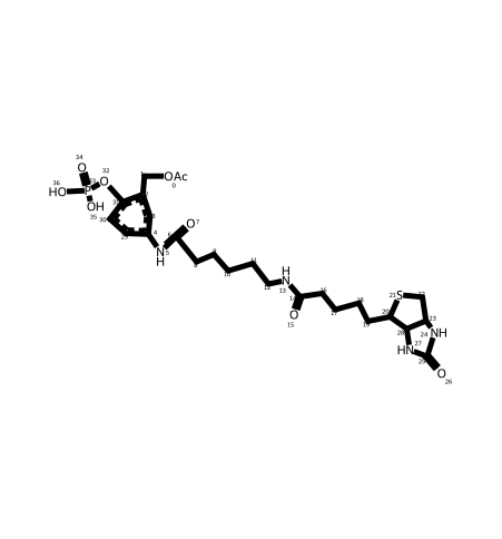 CC(=O)OCc1cc(NC(=O)CCCCCNC(=O)CCCCC2SCC3NC(=O)NC32)ccc1OP(=O)(O)O